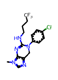 Cn1cnc2c1N=C(NCCCC(F)(F)F)N(c1ccc(Cl)cc1)C2